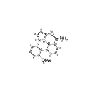 COc1ccccc1-c1cccc(C(N)=O)c1-c1nccs1